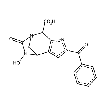 O=C(O)C1c2nn(C(=O)c3ccccc3)cc2C2CN1C(=O)N2O